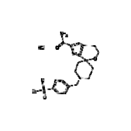 CCS(=O)(=O)c1ccc(CN2CCC3(CC2)OCCc2cc(C(N)=O)sc23)cc1.Cl